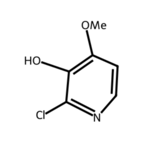 COc1ccnc(Cl)c1O